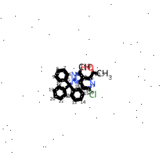 Cc1nn(C(c2ccccc2)(c2ccccc2)c2ccccc2)c2cc(Cl)nc(C(C)O)c12